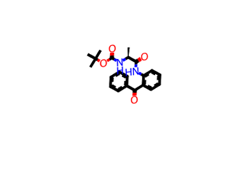 C[C@H](NC(=O)OC(C)(C)C)C(=O)Nc1ccccc1C(=O)c1ccccc1